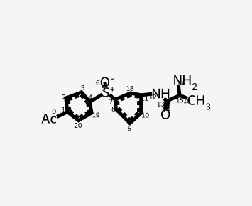 CC(=O)c1ccc([S+]([O-])c2cccc(NC(=O)C(C)N)c2)cc1